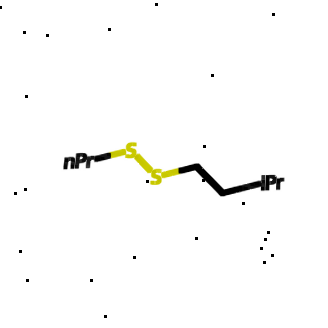 CCCSSCCC(C)C